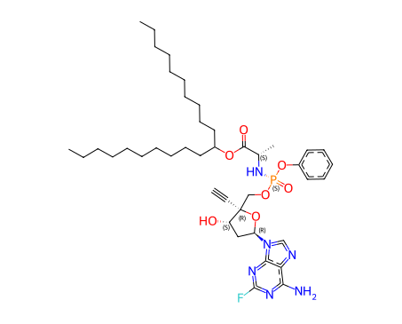 C#C[C@]1(CO[P@@](=O)(N[C@@H](C)C(=O)OC(CCCCCCCCCC)CCCCCCCCCC)Oc2ccccc2)O[C@@H](n2cnc3c(N)nc(F)nc32)C[C@@H]1O